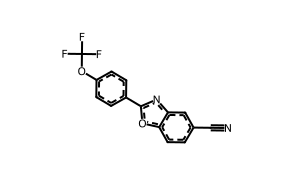 N#Cc1ccc2oc(-c3ccc(OC(F)(F)F)cc3)nc2c1